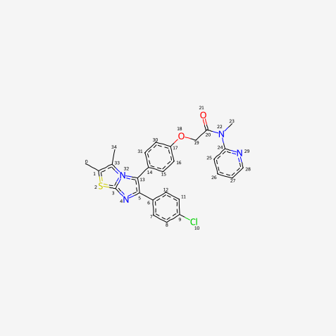 Cc1sc2nc(-c3ccc(Cl)cc3)c(-c3ccc(OCC(=O)N(C)c4ccccn4)cc3)n2c1C